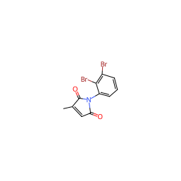 CC1=CC(=O)N(c2cccc(Br)c2Br)C1=O